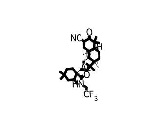 CC(=O)C[C@@H]1[C@@]2(C)CC(C#N)C(=O)C(C)(C)[C@@H]2CC[C@@]1(C)C(C)(C)CC[C@@]1(C(=O)NCC(F)(F)F)CCC(C)(C)CC1C